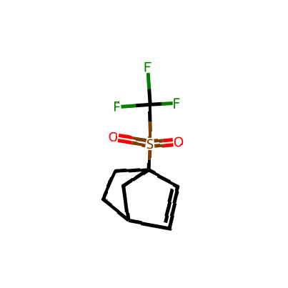 O=S(=O)(C(F)(F)F)C12C=CC(CC1)C2